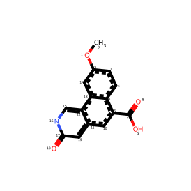 COc1ccc2c(C(=O)O)cc3c(c2c1)=C[N]C(=O)C=3